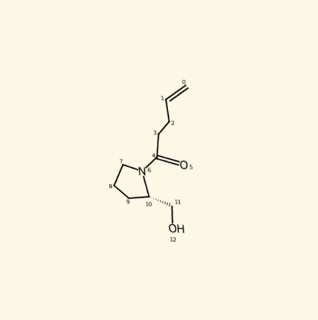 C=CCCC(=O)N1CCC[C@H]1CO